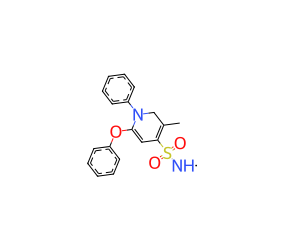 CC1=C(S([NH])(=O)=O)C=C(Oc2ccccc2)N(c2ccccc2)C1